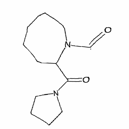 O=[C]N1CCCCCC1C(=O)N1CCCC1